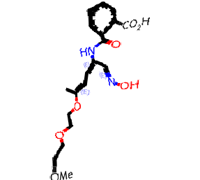 COCCOCCO/C(C)=C/C=C(\C=N\O)NC(=O)c1ccccc1C(=O)O